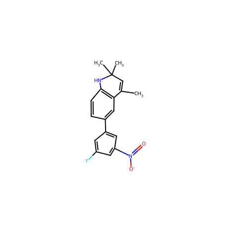 CC1=CC(C)(C)Nc2ccc(-c3cc(F)cc([N+](=O)[O-])c3)cc21